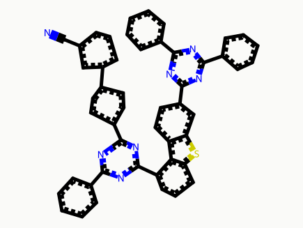 N#Cc1cccc(-c2ccc(-c3nc(-c4ccccc4)nc(-c4cccc5sc6cc(-c7nc(-c8ccccc8)nc(-c8ccccc8)n7)ccc6c45)n3)cc2)c1